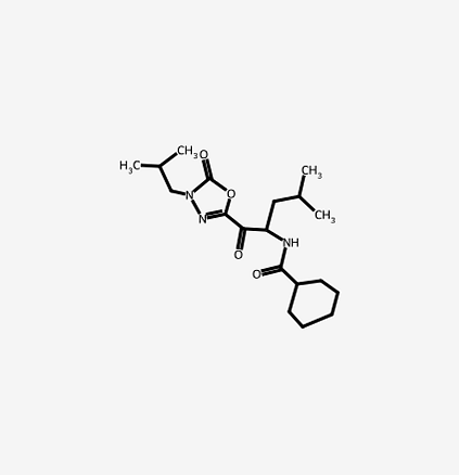 CC(C)CC(NC(=O)C1CCCCC1)C(=O)c1nn(CC(C)C)c(=O)o1